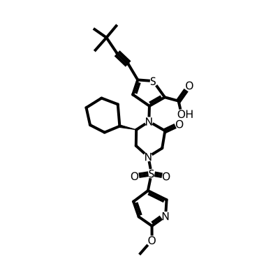 COc1ccc(S(=O)(=O)N2CC(=O)N(c3cc(C#CC(C)(C)C)sc3C(=O)O)[C@H](C3CCCCC3)C2)cn1